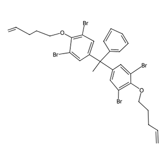 C=CCCCOc1c(Br)cc(C(C)(c2ccccc2)c2cc(Br)c(OCCCC=C)c(Br)c2)cc1Br